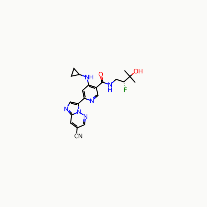 CC(C)(O)[C@H](F)CNC(=O)c1cnc(-c2cnc3cc(C#N)cnn23)cc1NC1CC1